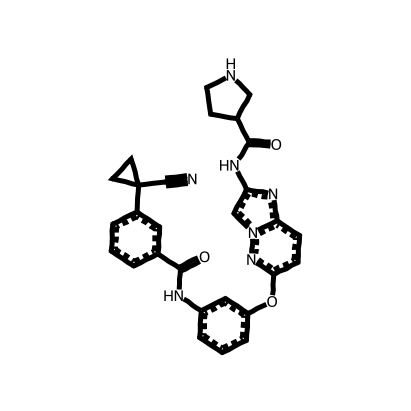 N#CC1(c2cccc(C(=O)Nc3cccc(Oc4ccc5nc(NC(=O)C6CCNC6)cn5n4)c3)c2)CC1